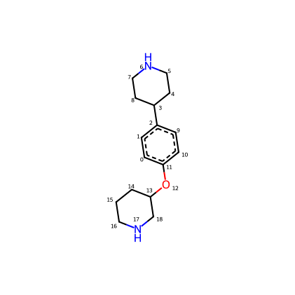 c1cc(C2CCNCC2)ccc1OC1CCCNC1